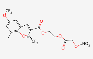 Cc1cc(OC(F)(F)F)cc2c1O[C@H](C(F)(F)F)C(C(=O)OCCOC(=O)CO[N+](=O)[O-])=C2